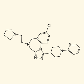 Clc1ccc2c(c1)CN(CCN1CCCC1)Cc1nnc(C3CCN(c4ccccn4)CC3)n1-2